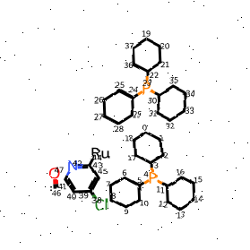 C1CCC(P(C2CCCCC2)C2CCCCC2)CC1.C1CCC(P(C2CCCCC2)C2CCCCC2)CC1.Clc1ccn[c]([Ru])c1.[C]=O